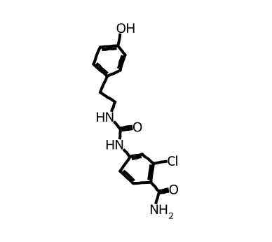 NC(=O)c1ccc(NC(=O)NCCc2ccc(O)cc2)cc1Cl